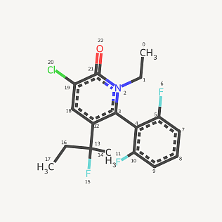 CCn1c(-c2c(F)cccc2F)c(C(C)(F)CC)cc(Cl)c1=O